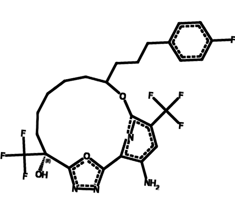 Nc1cc(C(F)(F)F)c2nc1-c1nnc(o1)[C@@](O)(C(F)(F)F)CCCCCC(CCCc1ccc(F)cc1)O2